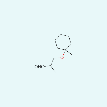 CC(C=O)COC1(C)CCCCC1